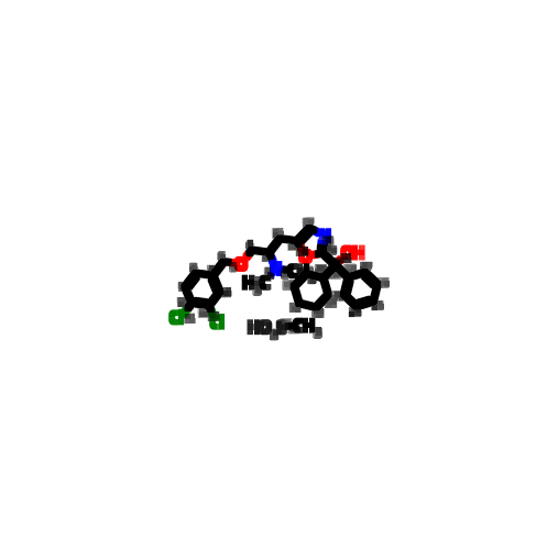 CN(C)C(COCc1ccc(Cl)c(Cl)c1)Cc1cnc([C@](O)(c2ccccc2)C2CCCCC2)o1.CS(=O)(=O)O